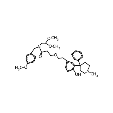 COc1ccc(CN(CC(OC)OC)C(=O)CCOCCc2ccc(O)c(C3(c4ccccc4)CCN(C)CC3)c2)cc1